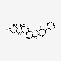 O=c1ccn([C@@H]2O[C@H](CO)C(O)C2O)c(=O)n1Cc1nccc(-c2ccccc2)c1F